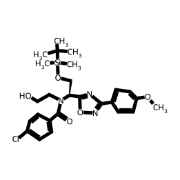 COc1ccc(-c2noc([C@H](CO[Si](C)(C)C(C)(C)C)N(CCO)C(=O)c3ccc(Cl)cc3)n2)cc1